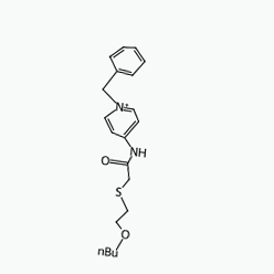 CCCCOCCSCC(=O)Nc1cc[n+](Cc2ccccc2)cc1